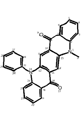 Cn1c2ccccc2c(=O)c2cc3c(cc21)c(=O)c1ccccc1n3-c1ccccc1